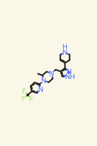 CC1CN(Cc2c[nH]nc2C2=CCNCC2)CCN1c1ccc(C(F)(F)F)cn1